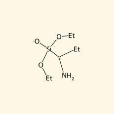 CCO[Si]([O])(OCC)C(N)CC